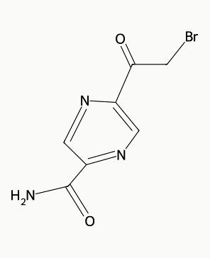 NC(=O)c1cnc(C(=O)CBr)cn1